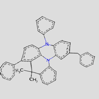 CC1(C)c2ccccc2N2c3cc(-c4ccccc4)ccc3N(c3ccccc3)c3ccc(-c4ccccc4)c1c32